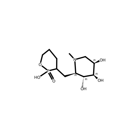 CN1C[C@@H](O)[C@@H](O)[C@H](O)[C@H]1CC1CCCOP1(=O)O